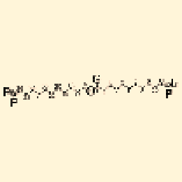 O=C(CCCCCCCCCC=C(F)F)OCCCCCCCCCCC=C(F)F